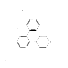 Cl.c1ccc(-c2cccnc2C2CCNCC2)cc1